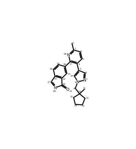 Cc1ccc(-c2cnn(CC3(C)CCCC3)c2)c(-c2ccc3c(c2)C(=O)N=C3)n1